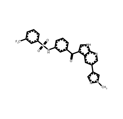 Cn1cc(-c2cnc3[nH]cc(C(=O)c4cccc(NS(=O)(=O)c5cccc(C(F)(F)F)c5)c4)c3c2)cn1